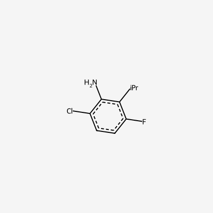 CC(C)c1c(F)ccc(Cl)c1N